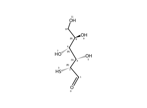 O=C[C@H](S)[C@@H](O)[C@H](O)[C@H](O)CO